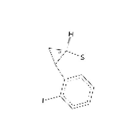 Ic1cccc2c1C1C[C@H]1S2